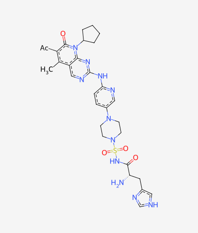 CC(=O)c1c(C)c2cnc(Nc3ccc(N4CCN(S(=O)(=O)NC(=O)[C@@H](N)Cc5c[nH]cn5)CC4)cn3)nc2n(C2CCCC2)c1=O